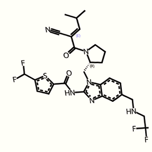 CC(C)/C=C(\C#N)C(=O)N1CCC[C@@H]1Cn1c(NC(=O)c2ccc(C(F)F)s2)nc2cc(CNCC(F)(F)F)ccc21